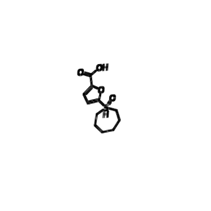 O=C(O)c1ccc([SH]2(=O)CCCCCC2)o1